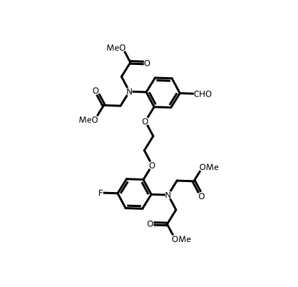 COC(=O)CN(CC(=O)OC)c1ccc(F)cc1OCCOc1cc(C=O)ccc1N(CC(=O)OC)CC(=O)OC